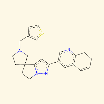 C1=Cc2cc(-c3cc4n(n3)CCC43CCN(Cc4ccsc4)C3)cnc2CC1